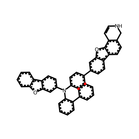 C1=Cc2c(ccc3c2oc2cc(-c4ccc(N(c5ccc6c(c5)oc5ccccc56)c5ccccc5-c5ccccc5)cc4)ccc23)CN1